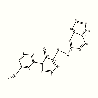 N#Cc1cccc(C2C=NN=C(COc3ccc4ncccc4c3)C2=O)c1